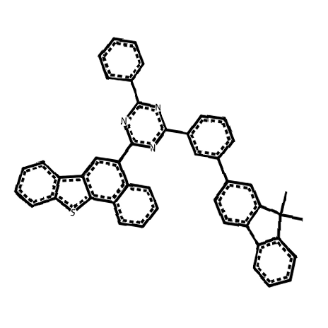 CC1(C)c2ccccc2-c2ccc(-c3cccc(-c4nc(-c5ccccc5)nc(-c5cc6c7ccccc7sc6c6ccccc56)n4)c3)cc21